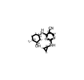 C[C@@H]1CC[C@@H](Nc2nc(NC3CC3)ncc2C#N)C[C@H]1O